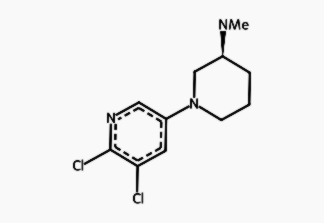 CN[C@H]1CCCN(c2cnc(Cl)c(Cl)c2)C1